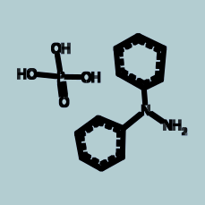 NN(c1ccccc1)c1ccccc1.O=P(O)(O)O